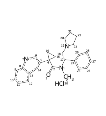 CN(C(=O)C1(c2cnc3ccccc3c2)CC1)[C@H](CN1CCCC1)c1ccccc1.Cl